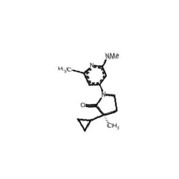 CNc1cc(N2CC[C@@](C)(C3CC3)C2=O)cc(C)n1